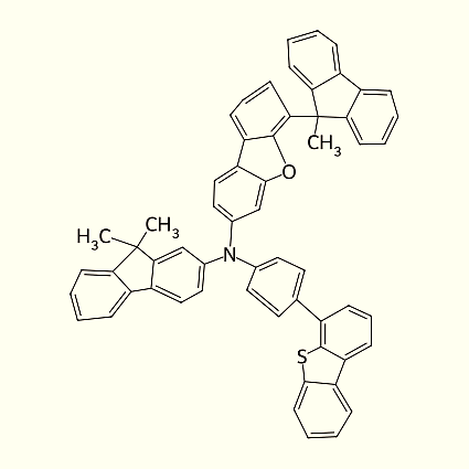 CC1(C)c2ccccc2-c2ccc(N(c3ccc(-c4cccc5c4sc4ccccc45)cc3)c3ccc4c(c3)oc3c(C5(C)c6ccccc6-c6ccccc65)cccc34)cc21